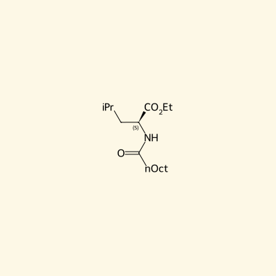 CCCCCCCCC(=O)N[C@@H](CC(C)C)C(=O)OCC